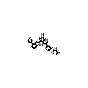 CC(C)CC(=O)Nc1cncc(-c2cnc3[nH]nc(-c4cc5c(-c6ccsc6)cccc5[nH]4)c3c2)c1